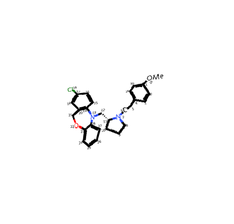 COc1ccc(CCN2CCC[C@@H]2CN2c3ccc(Cl)cc3COc3ccccc32)cc1